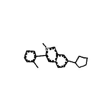 Cc1ccccc1-c1cc2ccc(C3CCCC3)cc2c[n+]1C